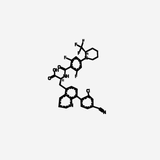 N#Cc1ccc(-c2ccc(C[C@H](NC(=O)c3c(F)cc(N4CCCC[C@@H]4C(F)(F)F)cc3F)C(=O)O)c3cccnc23)c(Cl)c1